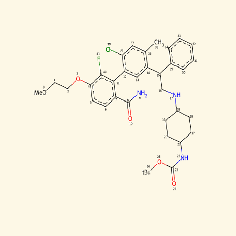 COCCOc1ccc(C(N)=O)c(-c2cc(C(CNC3CCC(NC(=O)OC(C)(C)C)CC3)c3ccccc3)c(C)cc2Cl)c1F